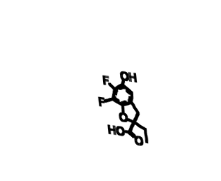 CCC1(C(=O)O)Cc2cc(O)c(F)c(F)c2O1